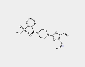 C=Cc1sc(N2CCN(C(=O)c3ccccc3S(=O)(=O)CC)CC2)nc1/C=C\C